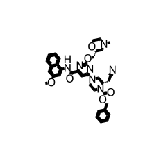 COc1cc(NC(=O)c2cc(N3CCN(C(=O)OCc4ccccc4)[C@@H](CC#N)C3)nc(OC[C@H]3CN(C)CCO3)n2)c2ccccc2c1